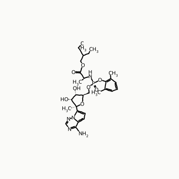 CCC(CC)COC(=O)[C@H](C)NP(=O)(OC[C@H]1O[C@@](C)(c2ccc3c(N)ncnn23)[C@H](O)[C@@H]1O)Oc1c(C)cccc1C